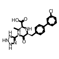 CC[C@H](N[C@@H](Cc1ccc(-c2cccc(Cl)c2)cc1)C(=O)NC1=NNNN1)C(=O)O